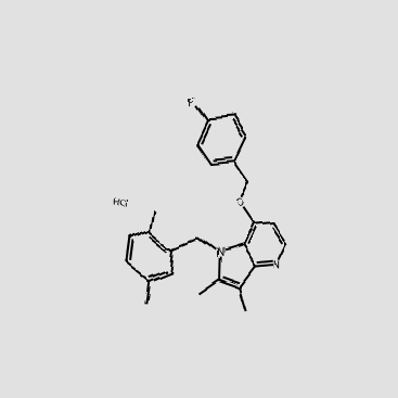 Cc1ccc(C)c(Cn2c(C)c(C)c3nccc(OCc4ccc(F)cc4)c32)c1.Cl